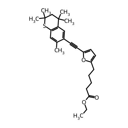 CCOC(=O)CCCCc1ccc(C#Cc2cc3c(cc2C)SC(C)(C)CC3(C)C)o1